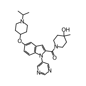 CC(C)N1CCC(Oc2ccc3c(c2)cc(C(=O)N2CCC(C)(O)CC2)n3-c2cncnc2)CC1